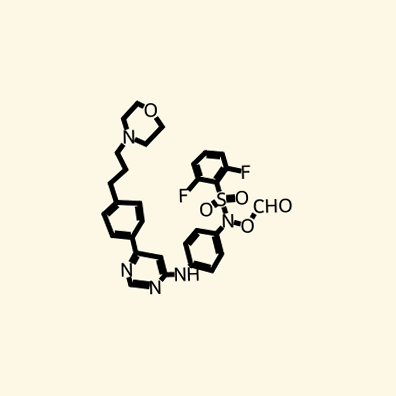 O=CON(c1ccc(Nc2cc(-c3ccc(CCCN4CCOCC4)cc3)ncn2)cc1)S(=O)(=O)c1c(F)cccc1F